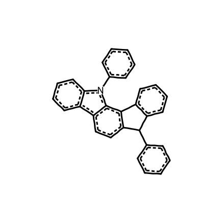 c1ccc(C2c3ccccc3-c3c2ccc2c4ccccc4n(-c4ccccc4)c32)cc1